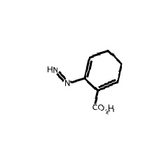 N=NC1=CCCC=C1C(=O)O